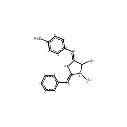 CCCCN1/C(=N/c2ccccc2)S/C(=C\c2ccc(OC)cc2)C1O